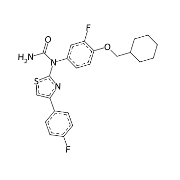 NC(=O)N(c1ccc(OCC2CCCCC2)c(F)c1)c1nc(-c2ccc(F)cc2)cs1